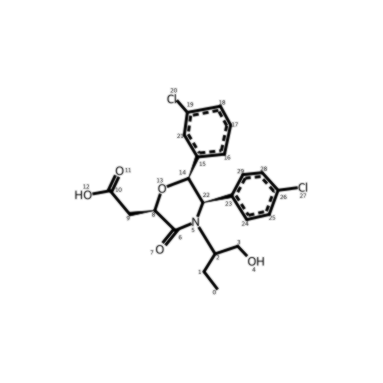 CCC(CO)N1C(=O)[C@@H](CC(=O)O)O[C@@H](c2cccc(Cl)c2)[C@H]1c1ccc(Cl)cc1